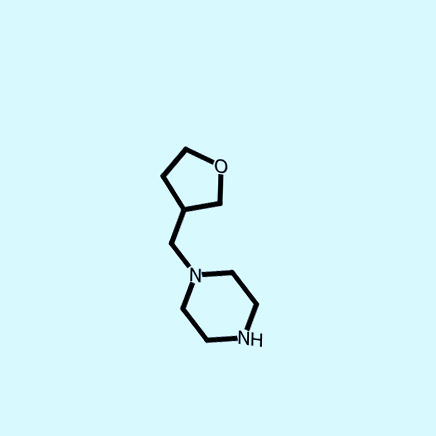 C1CN(CC2CCOC2)CCN1